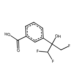 O=C(O)c1cccc(C(O)(CF)C(F)F)c1